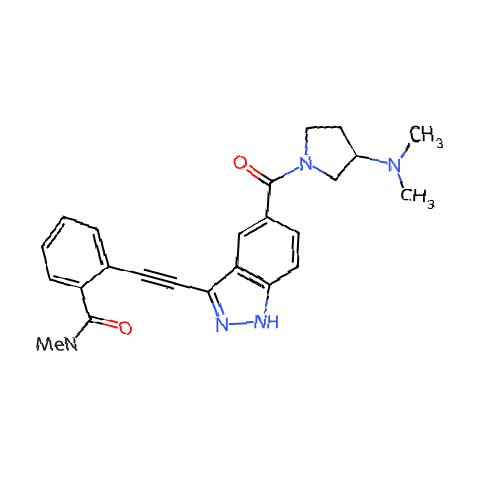 CNC(=O)c1ccccc1C#Cc1n[nH]c2ccc(C(=O)N3CCC(N(C)C)C3)cc12